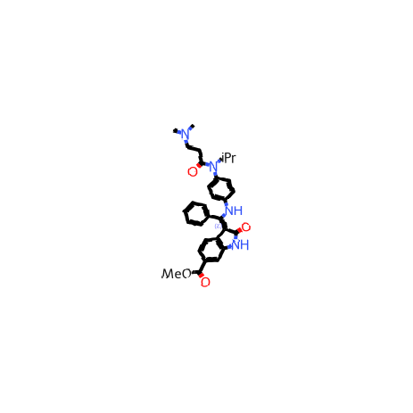 COC(=O)c1ccc2c(c1)NC(=O)/C2=C(\Nc1ccc(N(C(=O)CCN(C)C)C(C)C)cc1)c1ccccc1